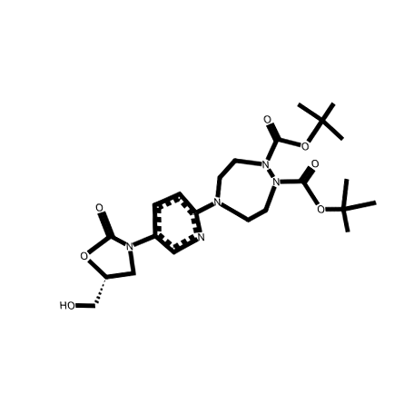 CC(C)(C)OC(=O)N1CCN(c2ccc(N3C[C@H](CO)OC3=O)cn2)CCN1C(=O)OC(C)(C)C